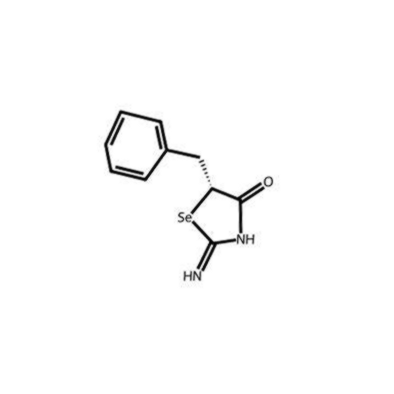 N=C1NC(=O)[C@@H](Cc2ccccc2)[Se]1